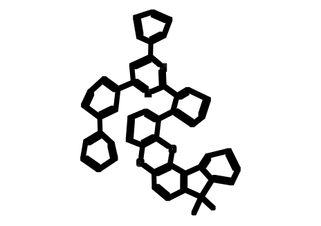 CC1(C)c2ccccc2-c2c1ccc1c2Oc2c(cccc2-c2ccccc2-c2nc(-c3ccccc3)cc(-c3cccc(-c4ccccc4)c3)n2)O1